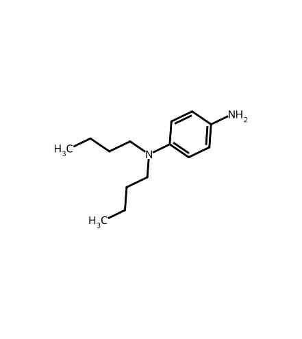 CCCCN(CCCC)c1ccc(N)cc1